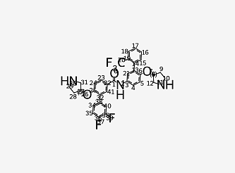 O=C(Nc1ccc(O[C@H]2CCNC2)c(-c2ccccc2C(F)(F)F)c1)c1ccc(O[C@H]2CCNC2)c(-c2ccc(F)c(F)c2)c1